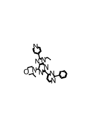 CCn1c(-c2ccncc2)nc2c(N3CCOCC3C)nc(-c3ccnc(-c4ccccc4)n3)nc21